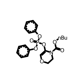 CCCCOC(=O)N1CCOC=C1OP(=O)(Oc1ccccc1)Oc1ccccc1